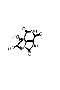 CC(O)CO.O=c1[nH]c(=O)c2[nH]c(=O)[nH]c2[nH]1